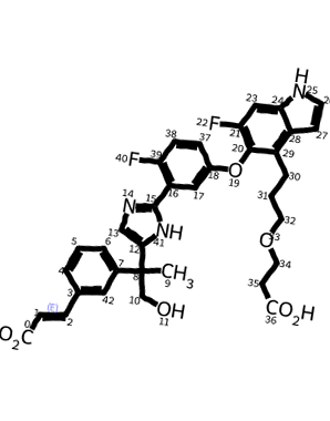 CCOC(=O)/C=C/c1cccc(C(C)(CO)c2cnc(-c3cc(Oc4c(F)cc5[nH]ccc5c4CCCOCCC(=O)O)ccc3F)[nH]2)c1